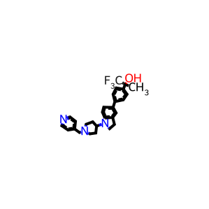 CC(O)(c1ccc(-c2ccc3c(c2)CCN3C2CCN(Cc3ccncc3)CC2)cc1)C(F)(F)F